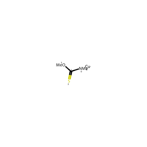 CNC(=S)OC.[Cu]